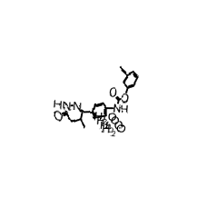 Cc1cccc(OC(=O)Nc2ccc(C3=NNC(=O)CC3C)cc2)c1.O.O.O.O